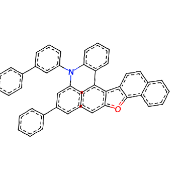 c1ccc(-c2cccc(N(c3cccc(-c4ccccc4)c3)c3ccccc3-c3cccc4oc5c6ccccc6ccc5c34)c2)cc1